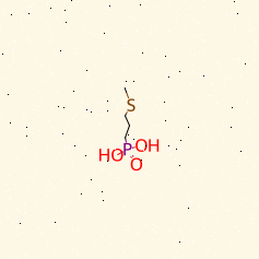 CSCCCP(=O)(O)O